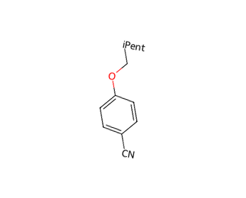 CCCC(C)COc1ccc(C#N)cc1